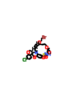 CC1(C)OC/C=C/[C@H](OCCBr)[C@@H]2CC[C@H]2CN2C[C@@]3(CCOc4cc(Cl)ccc43)COc3ccc(cc32)S(=O)(=O)NC1=O